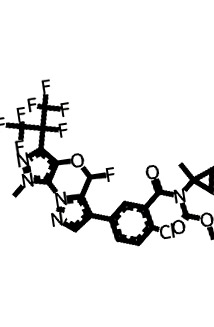 COC(=O)N(C(=O)c1cc(-c2cnn3c2C(F)Oc2c(C(F)(C(F)(F)F)C(F)(F)F)nn(C)c2-3)ccc1Cl)C1(C)CC1